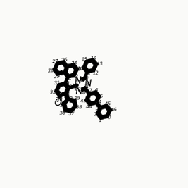 c1ccc(-c2ccc(-c3nc(-c4ccccc4)nc(-c4c(-c5cccc6ccccc56)ccc5oc6ccccc6c45)n3)cc2)cc1